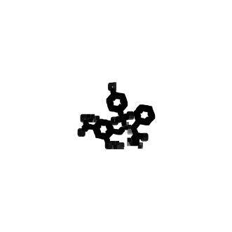 COC(=O)c1ccc(CN([C@@H](C(N)=O)c2ccccc2)S(=O)(=O)c2ccc(Cl)cc2)c(OC)c1